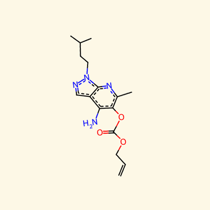 C=CCOC(=O)Oc1c(C)nc2c(cnn2CCC(C)C)c1N